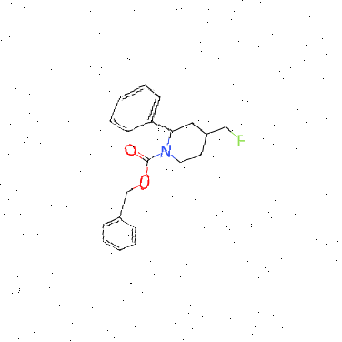 O=C(OCc1ccccc1)N1CCC(CF)CC1c1ccccc1